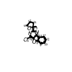 CC1(c2nc(Cl)c3oc4ccccc4c3n2)CCCO1